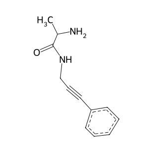 CC(N)C(=O)NCC#Cc1ccccc1